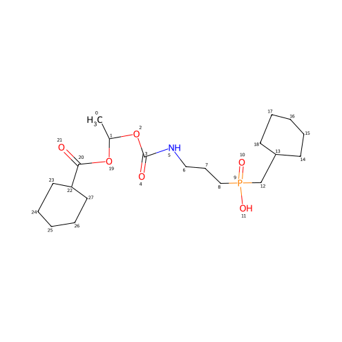 CC(OC(=O)NCCCP(=O)(O)CC1CCCCC1)OC(=O)C1CCCCC1